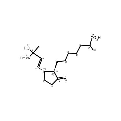 CCCCCCC(C)(O)C=C[C@H]1CCC(=O)[C@@H]1CCCCCC(C)C(=O)O